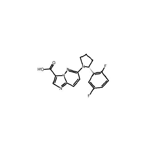 O=C(O)c1cnc2ccc(N3CCC[C@@H]3c3cc(F)ccc3F)nn12